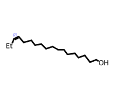 CC/C=C\CCCCCCCCCCCCCCO